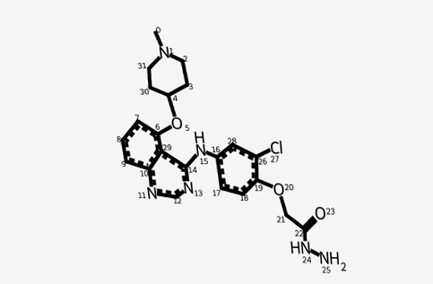 CN1CCC(Oc2cccc3ncnc(Nc4ccc(OCC(=O)NN)c(Cl)c4)c23)CC1